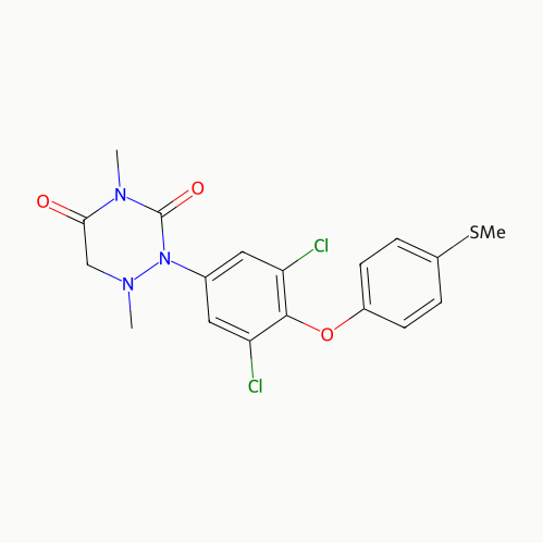 CSc1ccc(Oc2c(Cl)cc(N3C(=O)N(C)C(=O)CN3C)cc2Cl)cc1